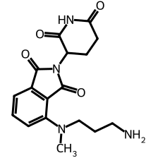 CN(CCCN)c1cccc2c1C(=O)N(C1CCC(=O)NC1=O)C2=O